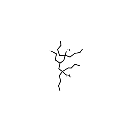 [CH2]CCC(CC(P)(CCCC)CCCC)CC(P)(CCCC)CCCC